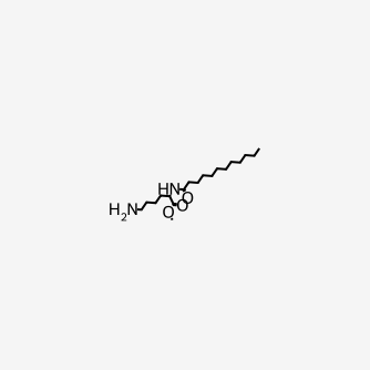 CCCCCCCCCCCC(=O)NC(CCCCN)C(=O)OC